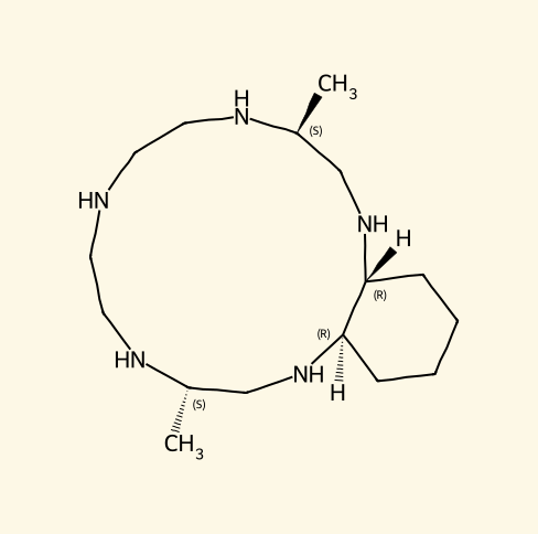 C[C@H]1CN[C@@H]2CCCC[C@H]2NC[C@H](C)NCCNCCN1